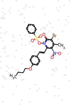 CCCCOc1ccc(/C=C/c2c([N+](=O)[O-])c(C)c(Br)c(=O)n2OS(=O)(=O)c2ccccc2)cc1